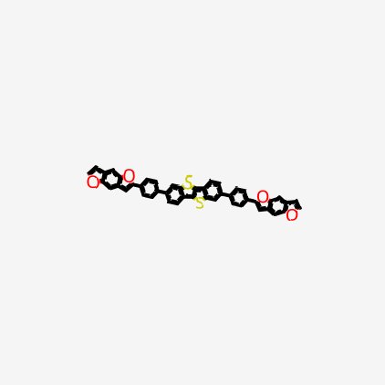 c1cc2cc3oc(-c4ccc(-c5ccc6c(c5)sc5c7ccc(-c8ccc(-c9cc%10cc%11occc%11cc%10o9)cc8)cc7sc65)cc4)cc3cc2o1